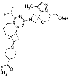 C=CC(=O)N1CCN([C@@H]2CN3c4cc(N5CC6(C5)OC[C@@H](COC)n5ncc(C)c56)nc(C(F)F)c4CCC[C@@H]23)CC1